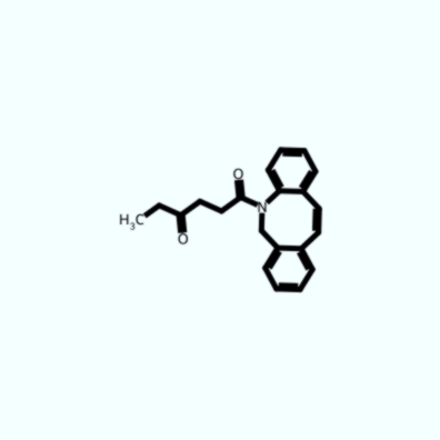 CCC(=O)CCC(=O)N1Cc2ccccc2/C=C\c2ccccc21